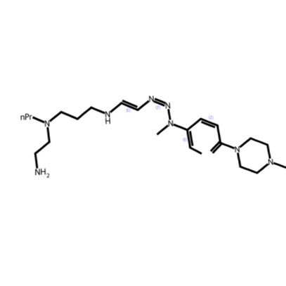 C=C(/C=C\C(=C/C)N(C)/N=N\C=C\NCCCN(CCC)CCN)N1CCN(C)CC1